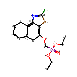 CCOP(=O)(COC1=c2sc(Br)nc2=C2CCCCC2C1)OCC